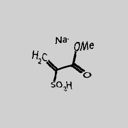 C=C(C(=O)OC)S(=O)(=O)O.[Na]